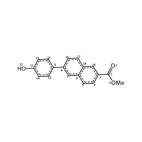 COC(=O)c1ccc2cc(-c3ccc(O)cc3)ccc2c1